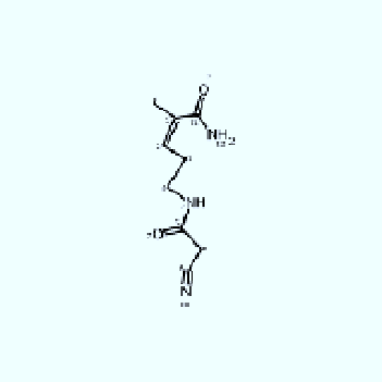 CC(=CCCNC(=O)CC#N)C(N)=O